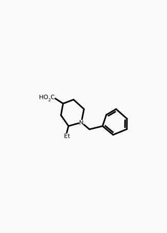 CCC1CC(C(=O)O)CCN1Cc1ccccc1